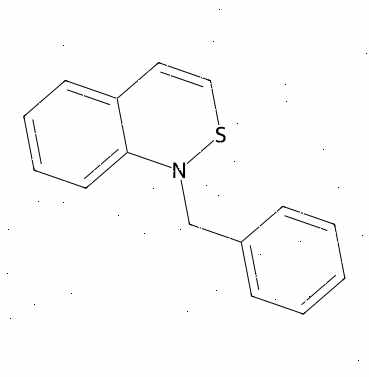 C1=Cc2ccccc2N(Cc2ccccc2)S1